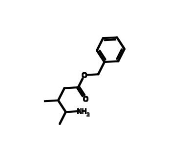 CC(N)C(C)CC(=O)OCc1ccccc1